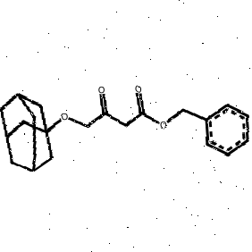 O=C(COC12CC3CC(CC(C3)C1)C2)CC(=O)OCc1ccccc1